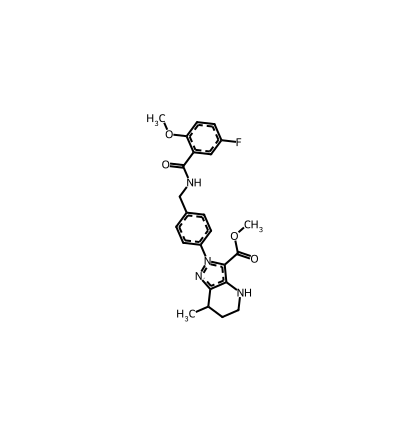 COC(=O)c1c2c(nn1-c1ccc(CNC(=O)c3cc(F)ccc3OC)cc1)C(C)CCN2